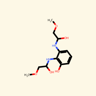 COCC(O)Nc1cccc(O)c1NC(O)COC